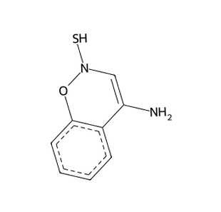 NC1=CN(S)Oc2ccccc21